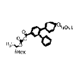 CCCCCCCCOc1ccc(-c2ccc(C(=O)OC(=O)O[C@@H](C)CCCCCC)cc2-c2ccccc2)cc1